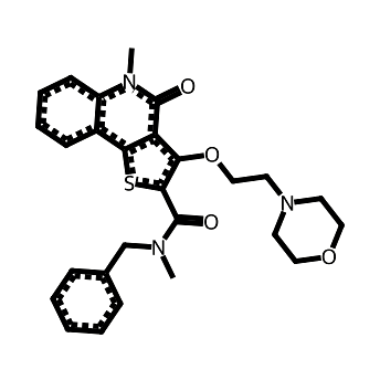 CN(Cc1ccccc1)C(=O)c1sc2c(c1OCCN1CCOCC1)c(=O)n(C)c1ccccc21